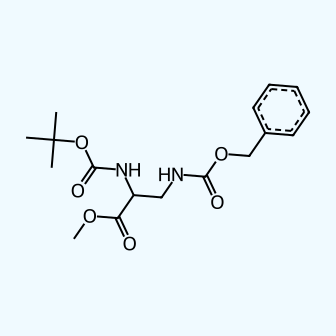 COC(=O)C(CNC(=O)OCc1ccccc1)NC(=O)OC(C)(C)C